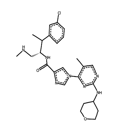 CNC[C@@H](NC(=O)c1cn(-c2nc(NC3CCOCC3)ncc2C)cn1)C(C)c1cccc(Cl)c1